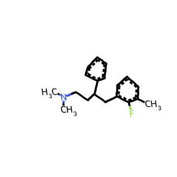 Cc1cccc(CC(CCN(C)C)c2ccccc2)c1F